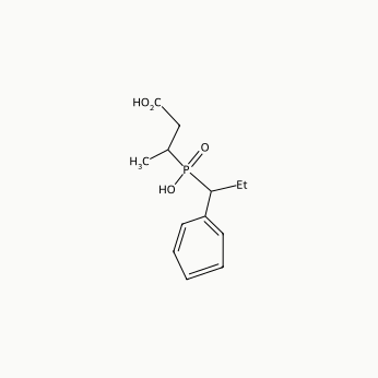 CCC(c1ccccc1)P(=O)(O)C(C)CC(=O)O